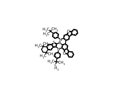 CC(C)(C)c1ccc(N2B3c4sc5cc6c(cc5c4N(c4ccc(C(C)(C)C)cc4)c4c3c(cc3c4oc4ccccc43)-c3cc4c(cc32)oc2ccccc24)C(C)(C)CCC6(C)C)cc1